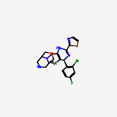 O=C(O)C1=C(CN2C3CNCC2COC3)NC(c2nccs2)=N[C@H]1c1ccc(F)cc1Br